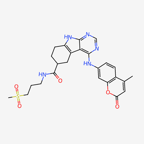 Cc1cc(=O)oc2cc(Nc3ncnc4[nH]c5c(c34)CC(C(=O)NCCCS(C)(=O)=O)CC5)ccc12